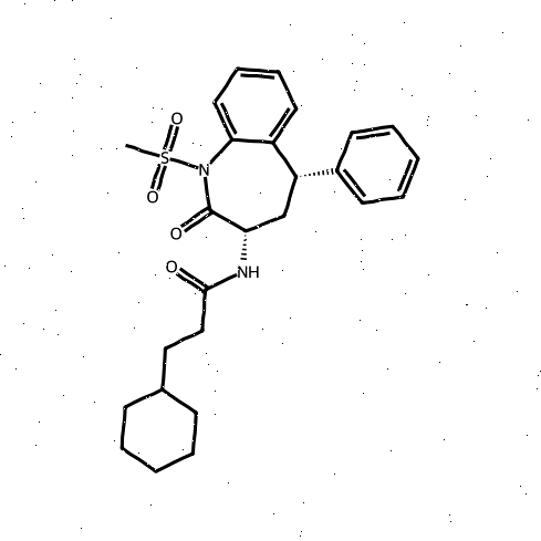 CS(=O)(=O)N1C(=O)[C@@H](NC(=O)CCC2CCCCC2)C[C@@H](c2ccccc2)c2ccccc21